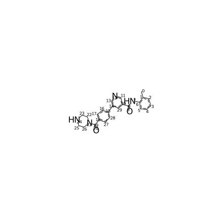 Cc1ccccc1NC(=O)c1cncc(-c2ccc(C(=O)N3CCNCC3)cc2)c1